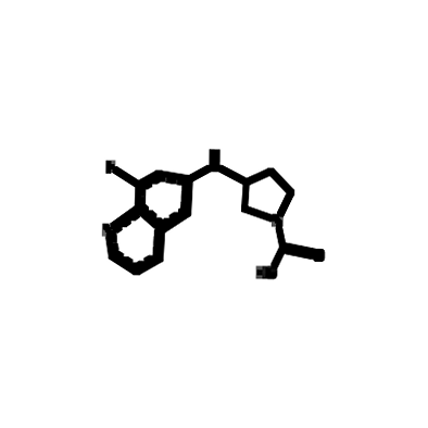 O=C(O)N1CCC(Nc2cc(F)c3ncccc3c2)C1